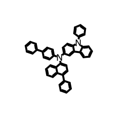 c1ccc(-c2ccc(N(c3ccc4c(c3)c3ccccc3n4-c3ccccc3)c3ccc(-c4ccccc4)c4ccccc34)cc2)cc1